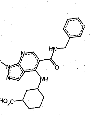 CCn1ncc2c(NC3CCCC(C(=O)O)C3)c(C(=O)NCc3ccccc3)cnc21